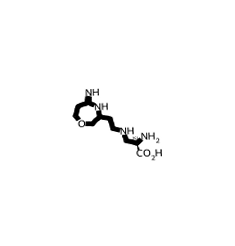 N=C1CCOCC(CCNC[C@H](N)C(=O)O)N1